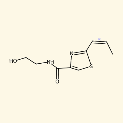 C/C=C\c1nc(C(=O)NCCO)cs1